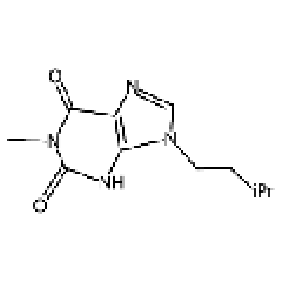 CC(C)CCn1cnc2c(=O)n(C)c(=O)[nH]c21